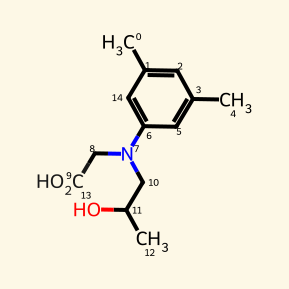 Cc1cc(C)cc(N(CC(=O)O)CC(C)O)c1